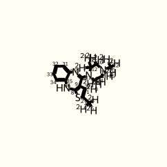 [2H]c1c(C([2H])([2H])[2H])sc2c1C(N1C([2H])([2H])C([2H])([2H])N(C([2H])([2H])[2H])C([2H])([2H])C1([2H])[2H])=Nc1ccccc1N2